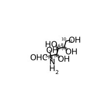 N[C@](O)(C=O)[C@@H](O)[C@@H](O)[C@H](O)CO